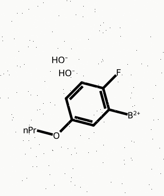 [B+2]c1cc(OCCC)ccc1F.[OH-].[OH-]